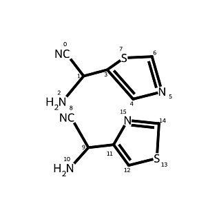 N#CC(N)c1cncs1.N#CC(N)c1cscn1